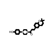 CC1(C)C=Cc2cc(/C=C/C(=O)N3CCN(c4ccc(O)cc4)CC3)ccc2O1